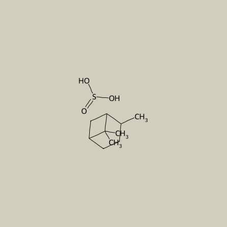 CC1CCC2CC1C2(C)C.O=S(O)O